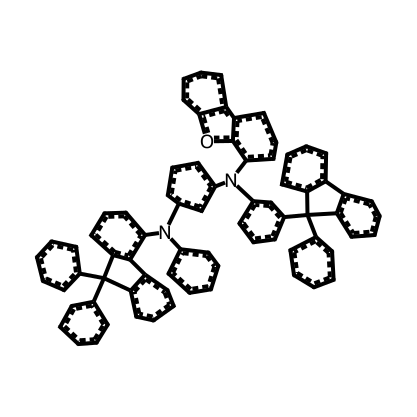 c1ccc(N(c2cccc(N(c3cccc(C4(c5ccccc5)c5ccccc5-c5ccccc54)c3)c3cccc4c3oc3ccccc34)c2)c2cccc3c2-c2ccccc2C3(c2ccccc2)c2ccccc2)cc1